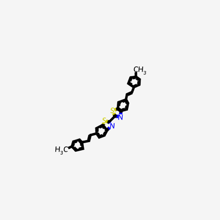 Cc1ccc(/C=C/c2ccc3nc(-c4nc5ccc(/C=C/c6ccc(C)cc6)cc5s4)sc3c2)cc1